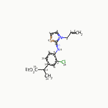 C=CCn1ccs/c1=N\c1ccc(C(C)C(=O)OCC)cc1Cl